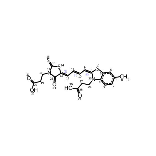 Cc1ccc2c(c1)S/C(=C/C=C/C=C1\SC(=S)N(CCC(=O)O)C1=O)N2CCC(=O)O